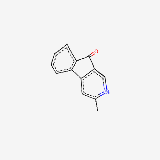 Cc1cc2c(cn1)C(=O)c1ccccc1-2